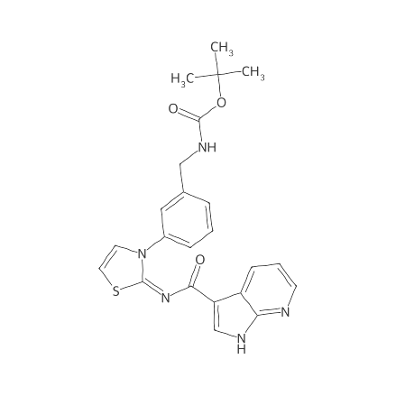 CC(C)(C)OC(=O)NCc1cccc(-n2ccs/c2=N/C(=O)c2c[nH]c3ncccc23)c1